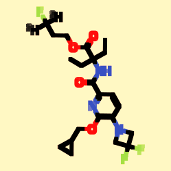 [2H]C([2H])(F)CCOC(=O)C(CC)(CC)NC(=O)c1ccc(N2CC(F)(F)C2)c(OCC2CC2)n1